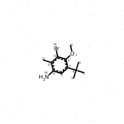 COc1c(C(C)(C)C)cc(N)c(C)c1Br